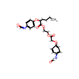 CCCCC(Oc1ccc(N=C=O)cc1)C(=O)OCCOC(=O)COc1ccc(N=C=O)cc1